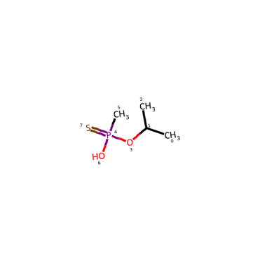 CC(C)OP(C)(O)=S